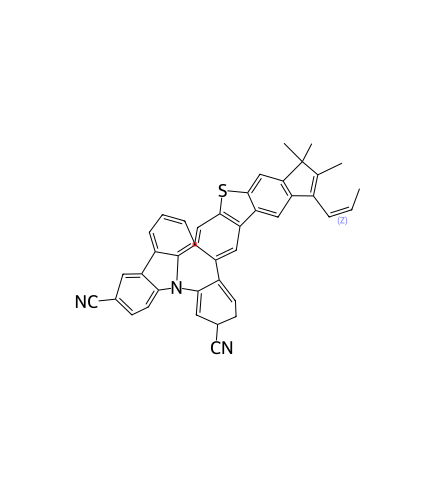 C/C=C\C1=C(C)C(C)(C)c2cc3sc4ccc(C5=CCC(C#N)C=C5n5c6ccccc6c6cc(C#N)ccc65)cc4c3cc21